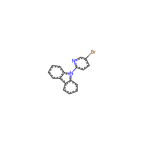 Brc1ccc(-n2c3ccccc3c3ccccc32)nc1